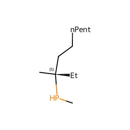 CCCCCCC[C@](C)(CC)PC